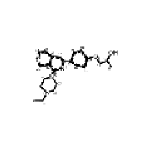 CCN1CCN(c2nc(-c3ccc(OCC(C)O)cc3)cc3ccccc23)CC1